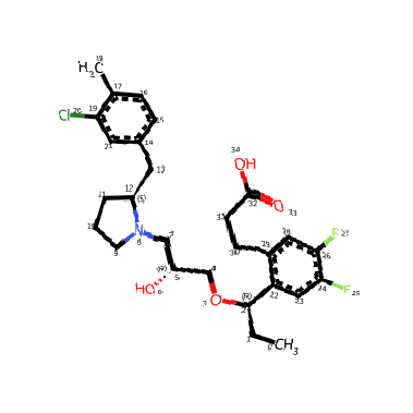 CC[C@@H](OC[C@H](O)CN1CCC[C@H]1Cc1ccc(C)c(Cl)c1)c1cc(F)c(F)cc1CCC(=O)O